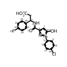 O=C(O)CC(NC(=O)c1cc(O)n(-c2ccc(Cl)cc2)n1)c1ccc(F)cc1